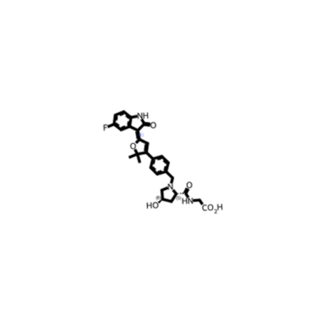 CC1(C)O/C(=C2/C(=O)Nc3ccc(F)cc32)C=C1c1ccc(CN2C[C@H](O)C[C@H]2C(=O)NCC(=O)O)cc1